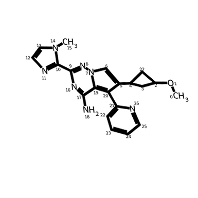 COC1CC(c2cn3nc(-c4nccn4C)nc(N)c3c2-c2ccccn2)C1